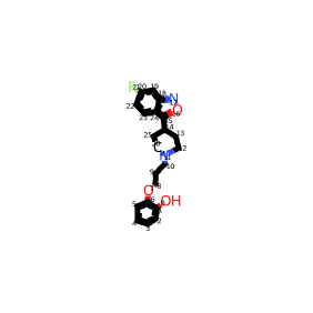 Oc1c[c]ccc1OCCCN1CCC(c2onc3cc(F)ccc23)CC1